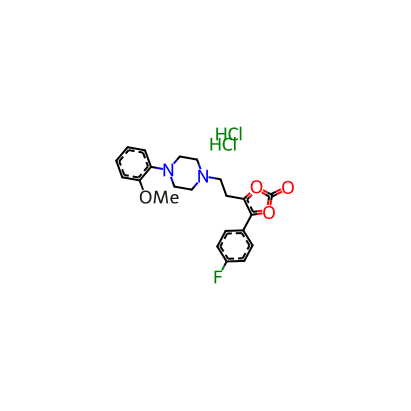 COc1ccccc1N1CCN(CCc2oc(=O)oc2-c2ccc(F)cc2)CC1.Cl.Cl